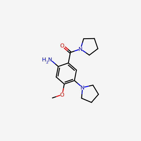 COc1cc(N)c(C(=O)N2CCCC2)cc1N1CCCC1